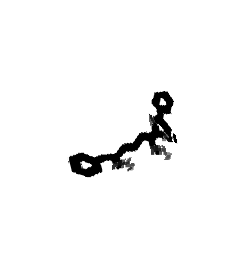 NC(CCCC(N)c1nc(-c2ccccc2)c[nH]1)Cc1ccccc1